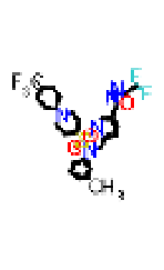 Cc1cccc(N(Cc2ccc(-c3nnc(C(F)F)o3)cn2)S(=O)(=O)C2CCN([C@H]3CC[C@H](C(F)(F)F)CC3)CC2)c1